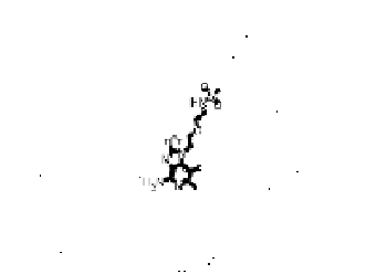 CCCc1nc2c(N)nc(C)c(C)c2n1CCOCCNS(C)(=O)=O